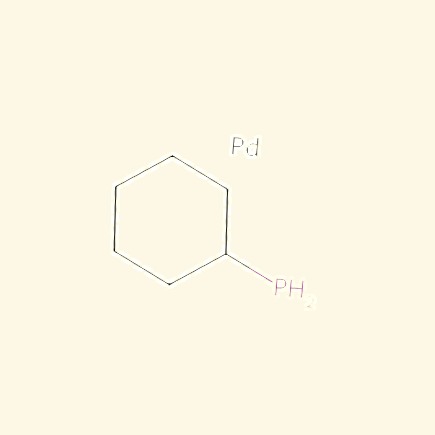 PC1CCCCC1.[Pd]